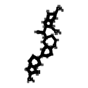 Cc1nc2ccc(-c3ccc4c(c3)CN(C(=O)c3cc5sc(C)cc5n3C)CCO4)cc2[nH]1